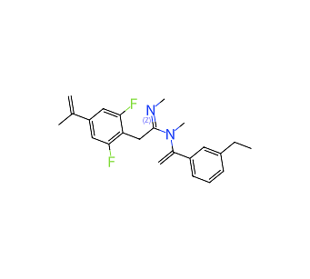 C=C(C)c1cc(F)c(C/C(=N/C)N(C)C(=C)c2cccc(CC)c2)c(F)c1